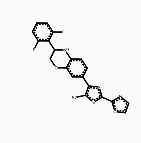 CCc1sc(-c2ncco2)nc1-c1ccc2c(c1)OCC(c1c(F)cccc1F)N2